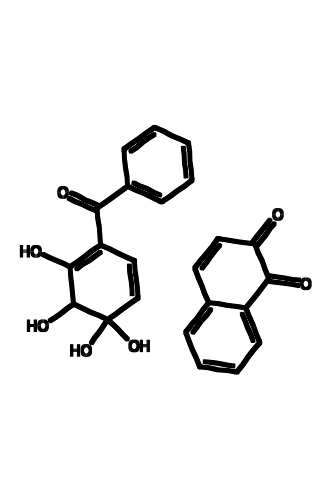 O=C(C1=C(O)C(O)C(O)(O)C=C1)c1ccccc1.O=C1C=Cc2ccccc2C1=O